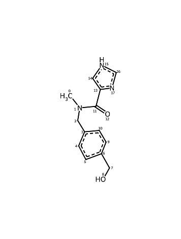 CN(Cc1ccc(CO)cc1)C(=O)c1c[nH]cn1